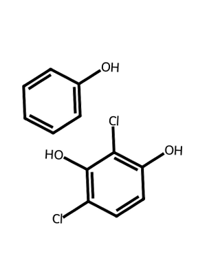 Oc1ccc(Cl)c(O)c1Cl.Oc1ccccc1